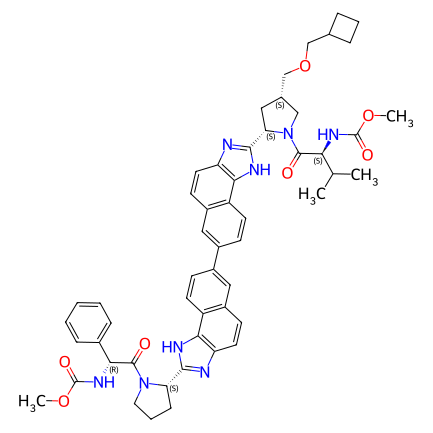 COC(=O)N[C@H](C(=O)N1C[C@@H](COCC2CCC2)C[C@H]1c1nc2ccc3cc(-c4ccc5c(ccc6nc([C@@H]7CCCN7C(=O)[C@H](NC(=O)OC)c7ccccc7)[nH]c65)c4)ccc3c2[nH]1)C(C)C